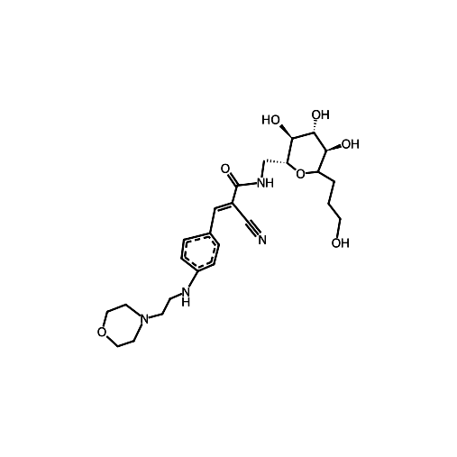 N#C/C(=C\c1ccc(NCCN2CCOCC2)cc1)C(=O)NC[C@H]1OC(CCCO)[C@H](O)[C@@H](O)[C@@H]1O